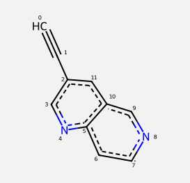 C#Cc1cnc2c[c]ncc2c1